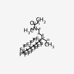 C=CC(=O)N(C)CCCC(CC)C(F)(F)C(F)(F)C(F)(F)C(F)(F)C(F)(F)C(F)(F)F